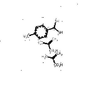 C=C(C)C(=O)O.C=C(C)C(=O)O.Cc1ccc(C(S)S)cc1